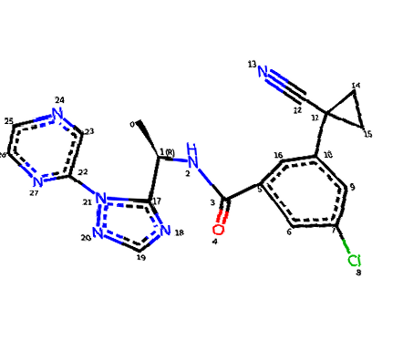 C[C@@H](NC(=O)c1cc(Cl)cc(C2(C#N)CC2)c1)c1ncnn1-c1cnccn1